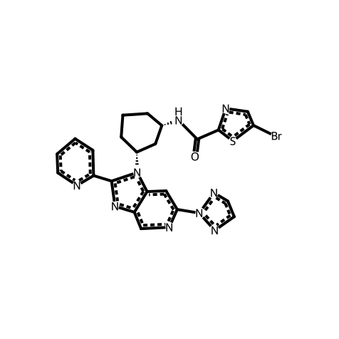 O=C(N[C@H]1CCC[C@@H](n2c(-c3ccccn3)nc3cnc(-n4nccn4)cc32)C1)c1ncc(Br)s1